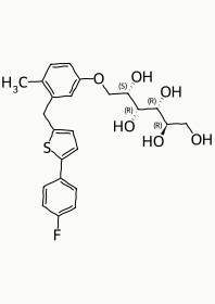 Cc1ccc(OC[C@H](O)[C@@H](O)[C@H](O)[C@H](O)CO)cc1Cc1ccc(-c2ccc(F)cc2)s1